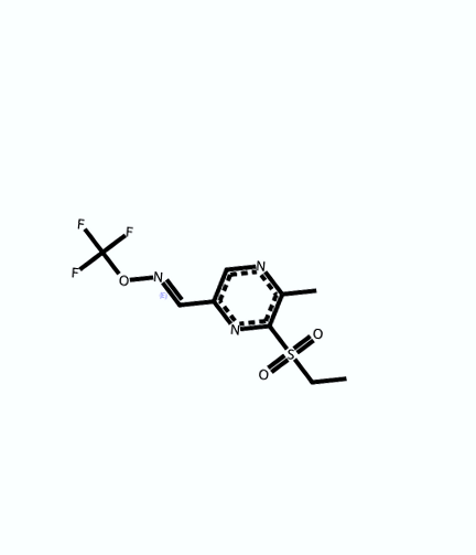 CCS(=O)(=O)c1nc(/C=N/OC(F)(F)F)cnc1C